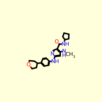 CNc1cc(Nc2ccc(C3CCOCC3)cc2)ncc1C(=O)NC1CCCC1